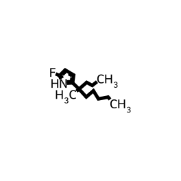 CCCCCC(C)(CCC)c1ccc(F)[nH]1